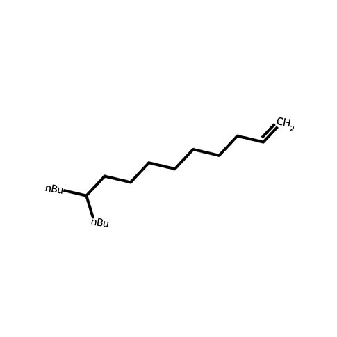 C=CCCCCCCCC(CCCC)CCCC